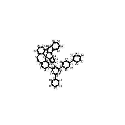 C1=Cc2ccc(-c3nc(-c4ccccc4)nc(-c4ccc(-c5cccnc5)cc4)n3)cc2C2(c3ccccc31)c1ccccc1-c1c2ccc2ccccc12